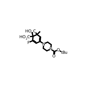 CC(C)(C)OC(=O)N1CCN(C2=CC(C)(C(=O)O)C(C)(C(=O)O)C(F)=C2)CC1